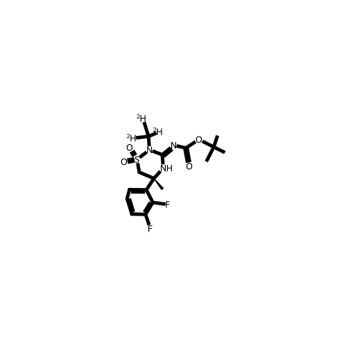 [2H]C([2H])([2H])N1/C(=N/C(=O)OC(C)(C)C)N[C@](C)(c2cccc(F)c2F)CS1(=O)=O